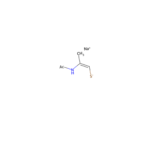 CC(=O)N/C(C)=C\[S-].[Na+]